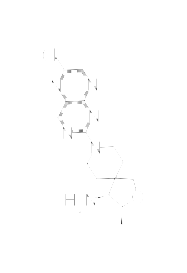 C[C@@H]1OCC2(CCN(c3ncc4nc(Cl)cnc4n3)CC2)[C@@H]1N